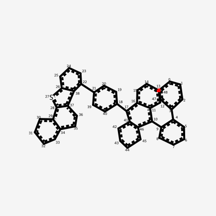 c1ccc(-c2ccccc2-c2c3ccccc3c(-c3ccc(-c4cccc5sc6c7ccccc7ccc6c45)cc3)c3ccccc23)cc1